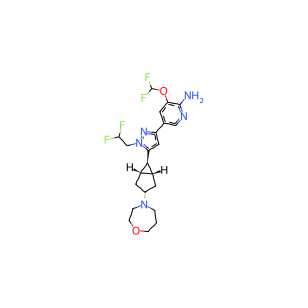 Nc1ncc(-c2cc([C@H]3[C@@H]4C[C@H](N5CCCOCC5)C[C@@H]43)n(CC(F)F)n2)cc1OC(F)F